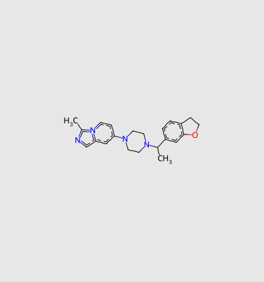 Cc1ncc2cc(N3CCN(C(C)c4ccc5c(c4)OCC5)CC3)ccn12